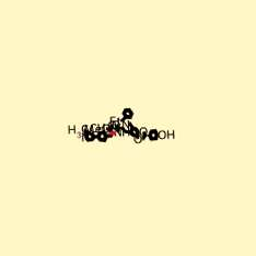 CC[C@@H](c1ccccc1)N1Cc2cc3c(cc2C[C@H]1C(=O)NC(Cc1ccc(-c2ccnc(C)c2C)cc1)C(=O)OC)OC[C@H](c1ccc(O)cc1)O3